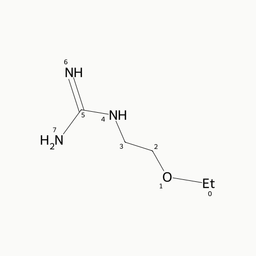 [CH2]COCCNC(=N)N